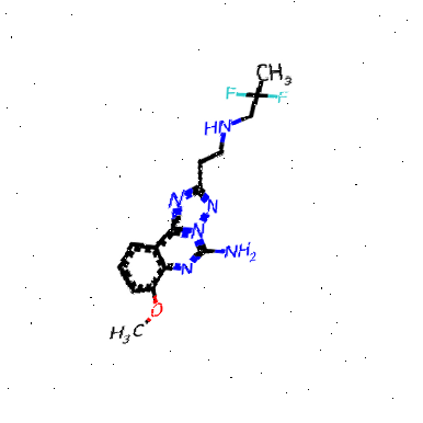 COc1cccc2c1nc(N)n1nc(CCNCC(C)(F)F)nc21